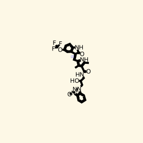 Cc1[nH]c(/C=C2\C(=O)Nc3ccc(OC(F)(F)F)cc32)c(C)c1C(=O)NCC(O)Cn1n[n+]([O-])c2ccccc21